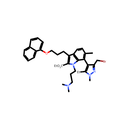 CCOC(=O)c1c(CCCOc2cccc3ccccc23)c2ccc(C)c(-c3c(CBr)nn(C)c3CC)c2n1CCCN(C)C